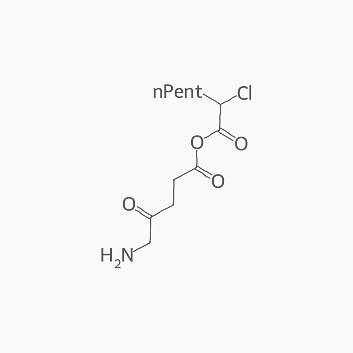 CCCCCC(Cl)C(=O)OC(=O)CCC(=O)CN